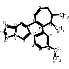 CC1CC=CC(c2ccn3ncnc3c2)=C(c2cccc(OC(F)(F)F)c2)C1C